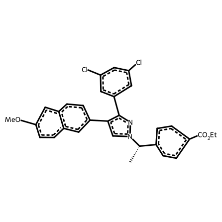 CCOC(=O)c1ccc([C@H](C)n2cc(-c3ccc4cc(OC)ccc4c3)c(-c3cc(Cl)cc(Cl)c3)n2)cc1